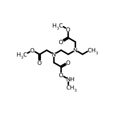 CCN(CCN(CC(=O)OC)CC(=O)ONC)CC(=O)OC